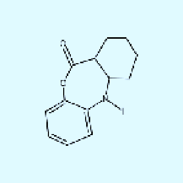 O=C1Oc2ccccc2N(I)C2CCCCC12